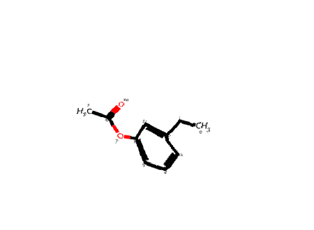 C[CH]c1cccc(OC(C)=O)c1